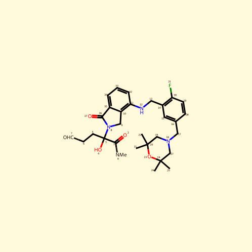 CNC(=O)C(O)(CCC=O)N1Cc2c(NCc3cc(CN4CC(C)(C)OC(C)(C)C4)ccc3F)cccc2C1=O